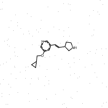 C(=CC1CCNC1)c1cncc(OCC2CC2)c1